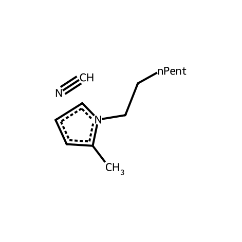 C#N.CCCCCCCn1cccc1C